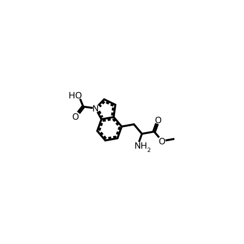 COC(=O)C(N)Cc1cccc2c1ccn2C(=O)O